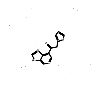 O=C(Cc1cccs1)c1cncc2[nH]cnc12